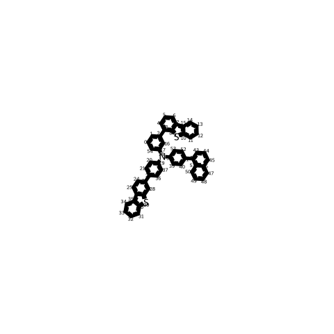 c1cc(-c2cccc3c2sc2ccccc23)cc(N(c2ccc(-c3ccc4c(c3)sc3ccccc34)cc2)c2ccc(-c3cccc4ccccc34)cc2)c1